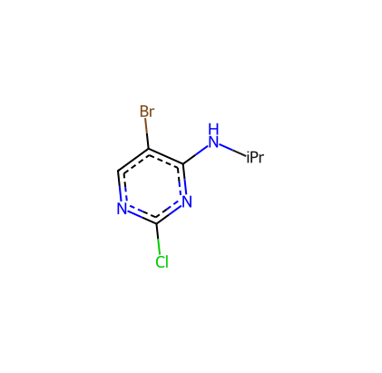 CC(C)Nc1nc(Cl)ncc1Br